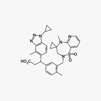 Cc1ccc(C(CC(=O)O)c2ccc3c(nnn3C3CC3)c2C)cc1CN1CC2(CC2)N(C)c2ncccc2S1(=O)=O